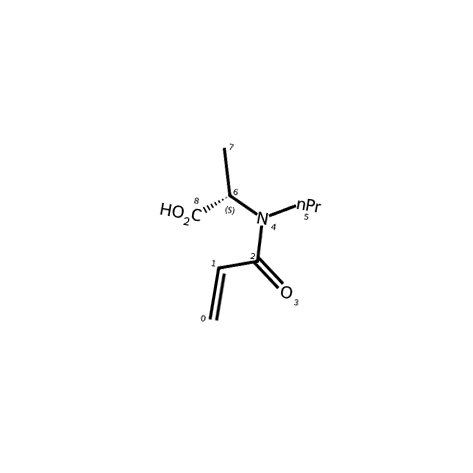 C=CC(=O)N(CCC)[C@@H](C)C(=O)O